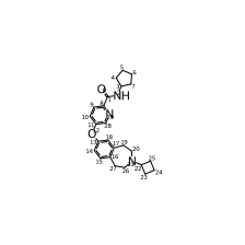 O=C(NC1CCCC1)c1ccc(Oc2ccc3c(c2)CCN(C2CCC2)CC3)cn1